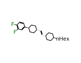 CCCCCC[C@H]1CC[C@H](/C=C/[C@H]2CC[C@H](c3ccc(F)c(F)c3)CC2)CC1